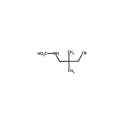 CC(C)(CC#N)CNC(=O)O